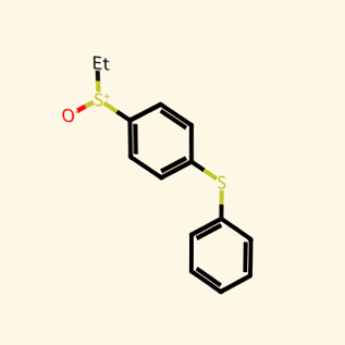 CC[S+]([O-])c1ccc(Sc2ccccc2)cc1